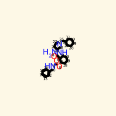 NC1(NC(=O)C2(OC(=O)NCc3ccccc3)CCCCC2)CCN(CC2CCCCC2)C1